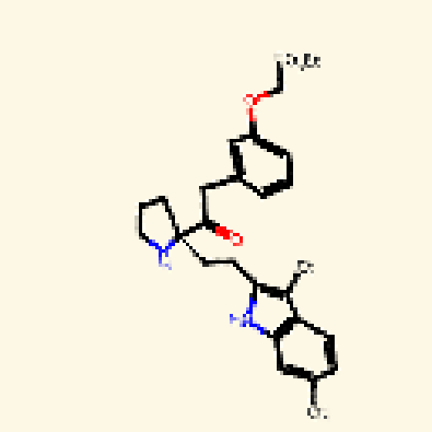 CCOC(=O)COc1cccc(CC(=O)[C@@]2(CCc3[nH]c4cc(C#N)ccc4c3CC)CCCN2)c1